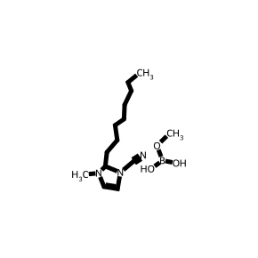 CCCCCCCCC1N(C)C=CN1C#N.COB(O)O